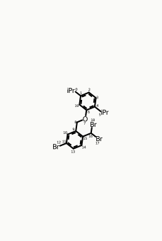 CC(C)c1ccc(C(C)C)c(OCc2cc(Br)ccc2C(Br)Br)c1